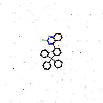 Clc1nc(-c2cccc3c2-c2ccccc2C3(c2ccccc2)c2ccccc2)c2ccccc2n1